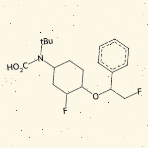 CC(C)(C)N(C(=O)O)C1CCC(OC(CF)c2ccccc2)C(F)C1